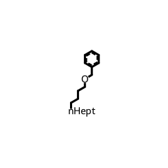 [CH2]CCCCCCCCCCOCc1ccccc1